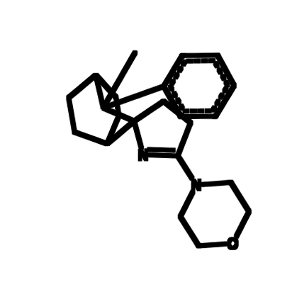 CC1(c2ccccc2)C2CCC(CC2)C12CCC(N1CCOCC1)=N2